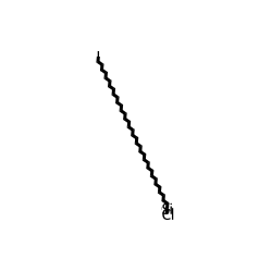 C[Si](C)(Cl)CCCCCCCCCCCCCCCCCCCCCCCCCCCCCCCCCCCCI